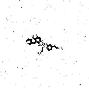 CCCSP(=O)(Oc1cccc(CCC)c1)Oc1cc(F)c2[nH]c3ccccc3cc-2c1=O